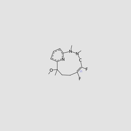 COC1(C)CC/C(F)=C(/F)CN(C)N(C)c2cccc1n2